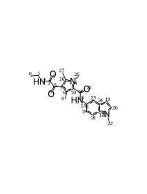 CCNC(=O)C(=O)c1c(C)c(C(=O)Nc2ccc3c(ccn3C)c2)n(C)c1C